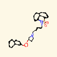 O=S1(=O)c2cccc3cccc(c23)N1CCCCN1CCC(Oc2ccc3ccccc3c2)C1